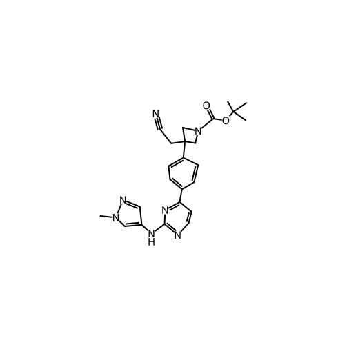 Cn1cc(Nc2nccc(-c3ccc(C4(CC#N)CN(C(=O)OC(C)(C)C)C4)cc3)n2)cn1